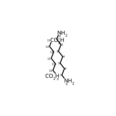 NCCCCCCCN.O=C(O)CCCCCC(=O)O